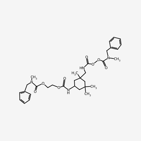 CN(Cc1ccccc1)C(=O)OCCOC(=O)NC1CC(C)(C)CC(C)(CNC(=O)OOC(=O)N(C)Cc2ccccc2)C1